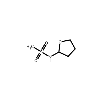 CS(=O)(=O)NC1CCCO1